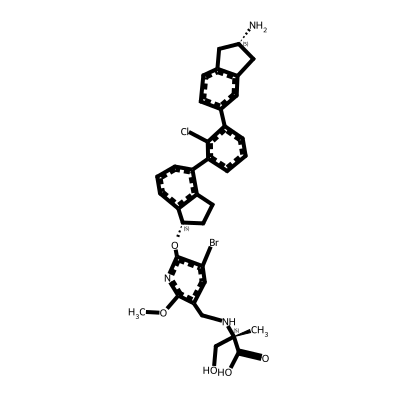 COc1nc(O[C@H]2CCc3c(-c4cccc(-c5ccc6c(c5)C[C@@H](N)C6)c4Cl)cccc32)c(Br)cc1CN[C@@](C)(CO)C(=O)O